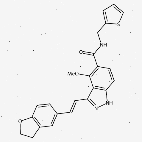 COc1c(C(=O)NCc2cccs2)ccc2[nH]nc(/C=C/c3ccc4c(c3)CCO4)c12